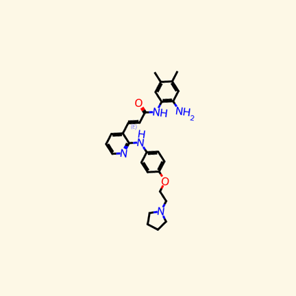 Cc1cc(N)c(NC(=O)/C=C/c2cccnc2Nc2ccc(OCCN3CCCC3)cc2)cc1C